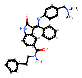 CN(C)Cc1ccc(N/C(=C2\C(=O)Nc3ccc(C(=O)N(C)CCc4ccccc4)cc32)c2ccccc2)cc1